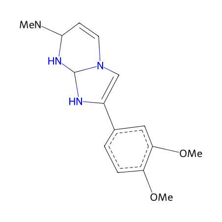 CNC1C=CN2C=C(c3ccc(OC)c(OC)c3)NC2N1